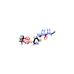 CCNC(=O)Nc1nc2cc(B3OC(C)(C)C(C)(C)O3)cnc2s1